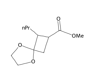 CCCC1C(C(=O)OC)CC12OCCO2